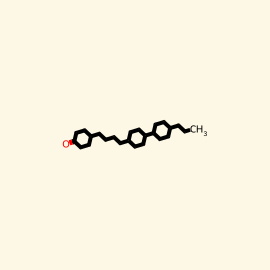 CCCC1CCC(C2CCC(CCCCC3CCC(=O)CC3)CC2)CC1